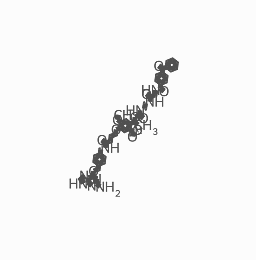 COc1cc(C(C)OC(=O)NCCNC(=O)CNC(=O)c2ccc(C(=O)c3ccccc3)cc2)c([N+](=O)[O-])cc1OCCCC(=O)NCc1ccc(COc2nc(N)nc3[nH]cnc23)cc1